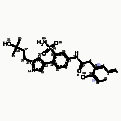 C=C/C=C(CC(=O)Nc1ccc(-c2cnn(CCC(C)(C)O)c2)c(S(N)(=O)=O)c1)\C(Cl)=C/C